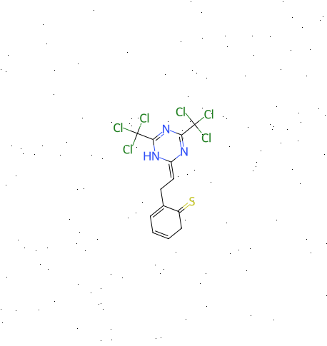 S=C1CC=CC=C1CC=C1N=C(C(Cl)(Cl)Cl)N=C(C(Cl)(Cl)Cl)N1